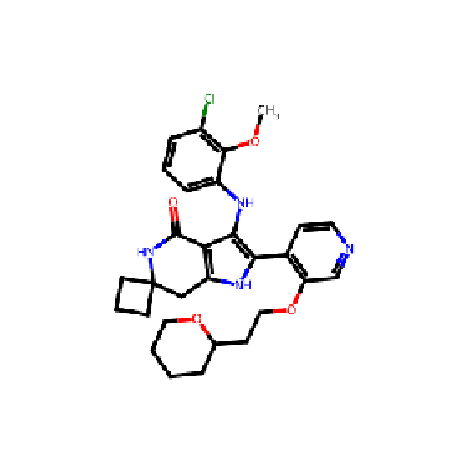 COc1c(Cl)cccc1Nc1c(-c2ccncc2OCCC2CCCCO2)[nH]c2c1C(=O)NC1(CCC1)C2